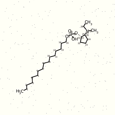 CCCCCCCCCCCCCCCCOP(=O)(O)O[C@H]1CCC[C@@H]1N(C)CC